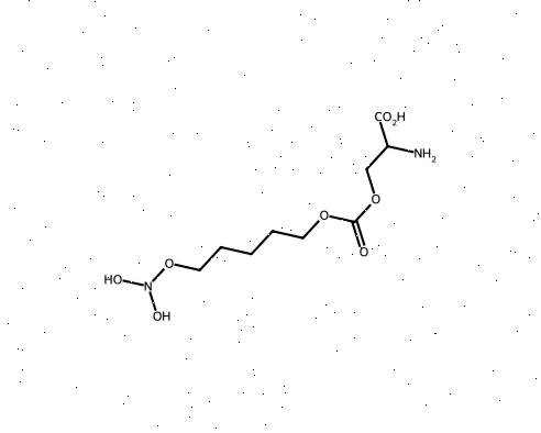 NC(COC(=O)OCCCCCON(O)O)C(=O)O